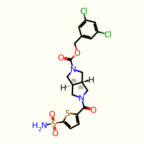 NS(=O)(=O)c1ccc(C(=O)N2C[C@H]3CN(C(=O)OCc4cc(Cl)cc(Cl)c4)C[C@@H]3C2)s1